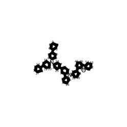 c1ccc(-c2ccc(N(c3ccc(-c4ccccc4)cc3)c3ccc(-c4ccc5c(c4)c4ccccc4n5-c4cccc(-c5cccc6c5oc5ccccc56)c4)cc3)cc2)cc1